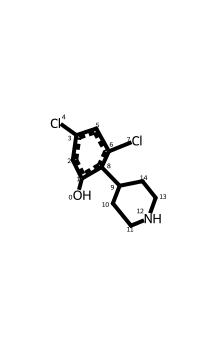 Oc1cc(Cl)cc(Cl)c1C1CCNCC1